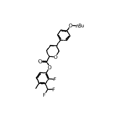 CCCCOc1ccc(C2CCC(C(=O)Oc3ccc(C)c(C(F)F)c3F)OC2)cc1